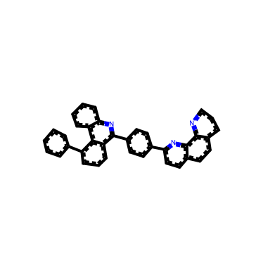 c1ccc(-c2cccc3c(-c4ccc(-c5ccc6ccc7cccnc7c6n5)cc4)nc4ccccc4c23)cc1